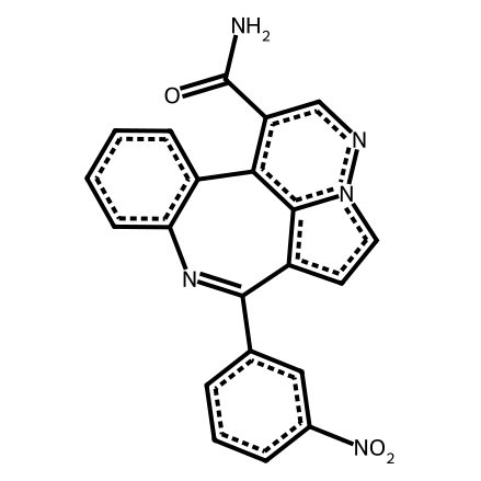 NC(=O)c1cnn2ccc3c2c1-c1ccccc1N=C3c1cccc([N+](=O)[O-])c1